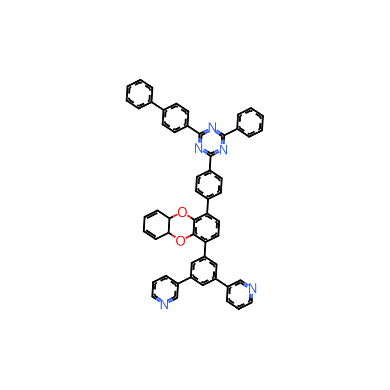 C1=CC2Oc3c(-c4ccc(-c5nc(-c6ccccc6)nc(-c6ccc(-c7ccccc7)cc6)n5)cc4)ccc(-c4cc(-c5cccnc5)cc(-c5cccnc5)c4)c3OC2C=C1